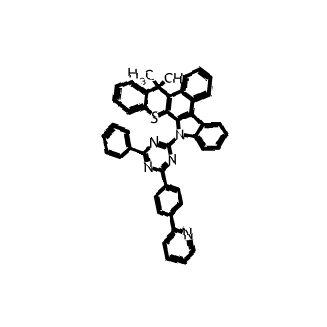 CC1(C)c2ccccc2Sc2c1c1ccccc1c1c3ccccc3n(-c3nc(-c4ccccc4)nc(-c4ccc(-c5ccccn5)cc4)n3)c21